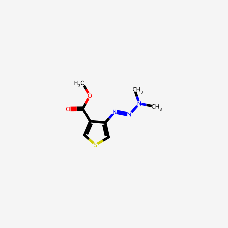 COC(=O)c1cscc1N=NN(C)C